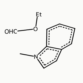 CCOC=O.Cn1ccc2ccccc21